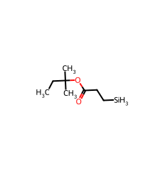 CCC(C)(C)OC(=O)CC[SiH3]